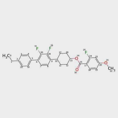 CCc1ccc(-c2ccc(C3CCC(OC(=O)c4ccc(OC)cc4F)CC3)c(F)c2F)cc1